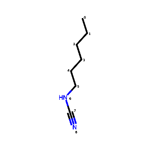 CCCCCCNC#N